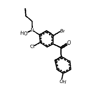 CCCN(O)c1cc(Br)c(C(=O)c2ccc(O)cc2)cc1Cl